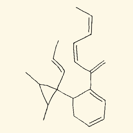 C=C(/C=C\C=C/C)C1=CC=CCC1C1(C=CC)C(C)C1C